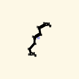 C=N/C=N/CCC